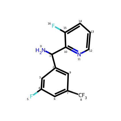 NC(c1cc(F)cc(C(F)(F)F)c1)c1ncccc1F